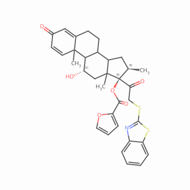 C[C@@H]1CC2C3CCC4=CC(=O)C=CC4(C)C3[C@@H](O)CC2(C)[C@@]1(OC(=O)c1ccco1)C(=O)CSc1nc2ccccc2s1